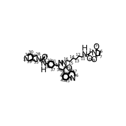 O=C(CN1C(=O)C=CC1=O)NCCCCCCN1N=C(c2ccc(NC(=O)N3Cc4ccncc4C3)cc2)CC(c2cccc3ncccc23)C1=O